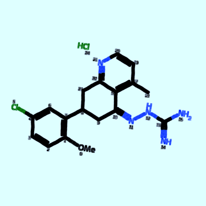 COc1ccc(Cl)cc1C1C/C(=N/NC(=N)N)c2c(C)ccnc2C1.Cl